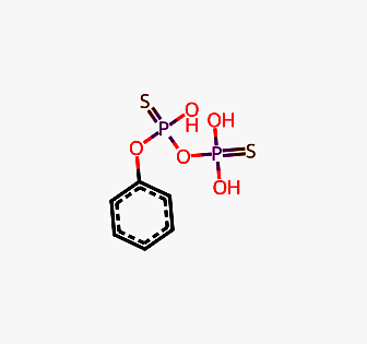 OP(O)(=S)OP(O)(=S)Oc1ccccc1